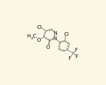 COc1c(Cl)cnn(-c2ccc(C(F)(F)F)cc2Cl)c1=O